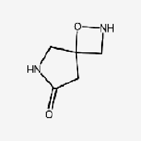 O=C1CC2(CNO2)CN1